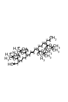 C#CCN(CCCN(C/C=C/CN(CCCN(CC=C)C(=O)OC(C)(C)C)C(=O)OC(C)(C)C)C(=O)OC(C)(C)C)C(=O)OC(C)(C)C